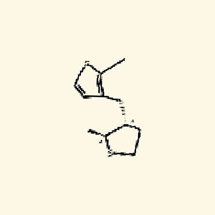 Cc1sccc1S[C@@H]1CCS[C@H]1C